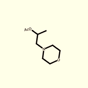 C[C](CN1CCOCC1)OC(C)=O